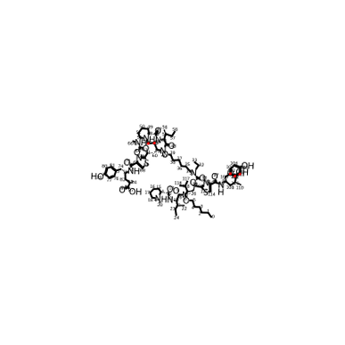 CCCCCCON(C(=O)[C@@H](NC(=O)[C@H]1CCCCN1C)[C@@H](C)CC)[C@H](C[C@@H](OC(=O)N(CC)CCCCCCON(C(=O)[C@@H](NC(=O)[C@H]1CCCCN1C)[C@@H](C)CC)[C@H](C[C@@H](OC(=O)NC)c1nc(C(=O)N[C@@H](Cc2ccc(O)cc2)C[C@H](C)C(=O)O)cs1)C(C)C)c1nc(C(=O)N[C@@H](Cc2ccc(O)cc2)C[C@H](C)C(=O)O)cs1)C(C)C